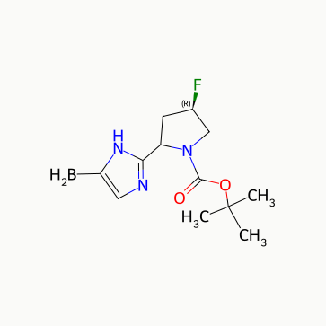 Bc1cnc(C2C[C@@H](F)CN2C(=O)OC(C)(C)C)[nH]1